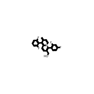 C=C1C=CN2C(=C1c1c(F)cccc1F)C=CC(CO)=C2c1ccc(F)cc1F